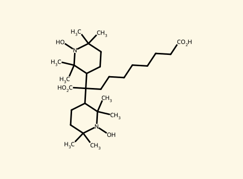 CC1(C)CCC(C(CCCCCCCC(=O)O)(C(=O)O)C2CCC(C)(C)N(O)C2(C)C)C(C)(C)N1O